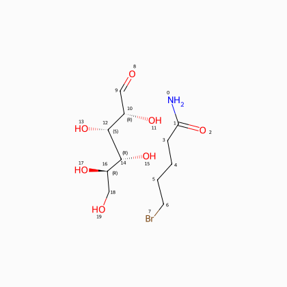 NC(=O)CCCCBr.O=C[C@H](O)[C@@H](O)[C@H](O)[C@H](O)CO